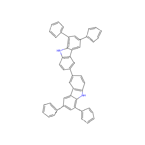 c1ccc(-c2cc(-c3ccccc3)c3[nH]c4ccc(-c5ccc6[nH]c7c(-c8ccccc8)cc(-c8ccccc8)cc7c6c5)cc4c3c2)cc1